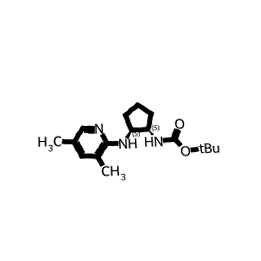 Cc1cnc(N[C@H]2CCC[C@@H]2NC(=O)OC(C)(C)C)c(C)c1